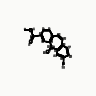 COC(=O)c1ccc2c(c1)[S+]([O-])c1cc(F)ccc1C=C2